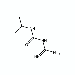 CC(C)NC(=O)NC(=N)N